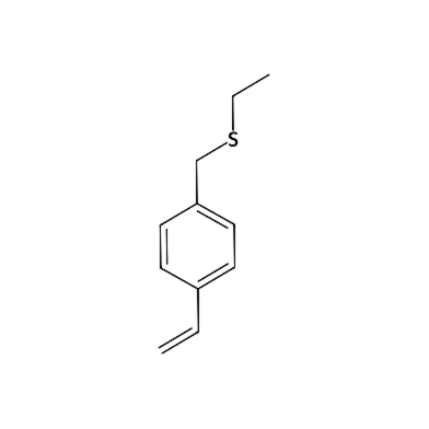 C=Cc1ccc(CSCC)cc1